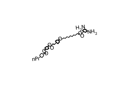 CCCC1CCC(C(=O)Oc2ccc(OC(=O)C=Cc3ccc(OCCCCCCCCCCCOC(=O)c4cc(N)cc(N)c4)cc3)cc2)CC1